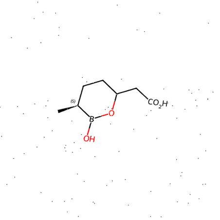 C[C@H]1CCC(CC(=O)O)OB1O